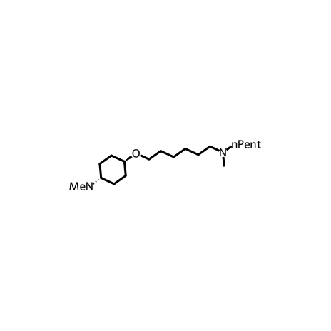 CCCCCN(C)CCCCCCO[C@H]1CC[C@H](NC)CC1